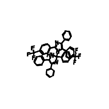 FC(F)(F)c1ccc(-c2nc(-c3ccccc3)c(-c3ccccc3)n2C2(c3ccc(C(F)(F)F)cc3)N=C(c3ccccc3)C(c3ccccc3)N2)cc1